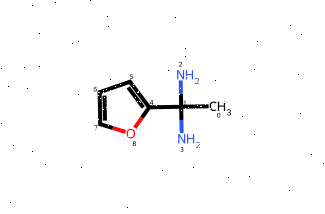 CC(N)(N)c1ccco1